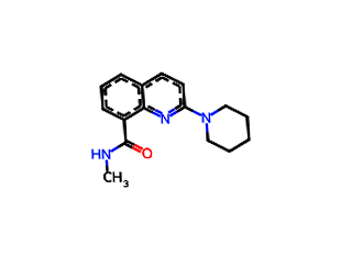 CNC(=O)c1cccc2ccc(N3CCCCC3)nc12